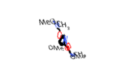 COc1cc(OCCN(C)OC)cnc1C(=O)OCCN(C)OC